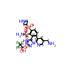 NCc1cncc(-c2ccc(S(=O)(=O)C3CNC3)c(S(N)(=O)=O)c2-c2nnn[nH]2)c1.O=C(O)C(F)(F)F